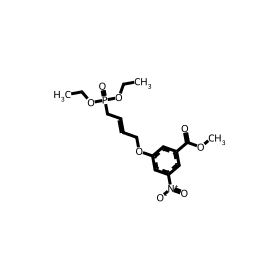 CCOP(=O)(C/C=C/COc1cc(C(=O)OC)cc([N+](=O)[O-])c1)OCC